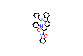 C(=C(c1nc2ccccc2o1)c1nc2ccccc2o1)c1ccc2c3ccccc3n(Cc3ccccc3)c2c1